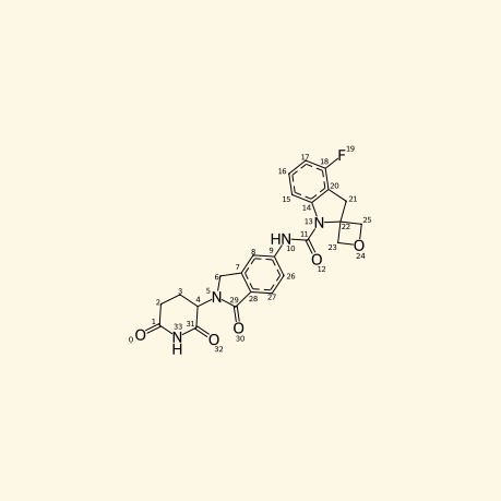 O=C1CCC(N2Cc3cc(NC(=O)N4c5cccc(F)c5CC45COC5)ccc3C2=O)C(=O)N1